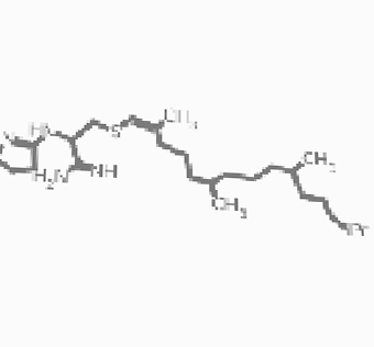 CC(=CSCC(NC1=NCCC1)C(=N)N)CCCC(C)CCCC(C)CCCC(C)C